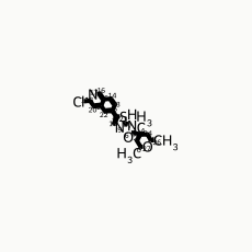 CC1CC(C)(C(=O)Nc2ncc(-c3ccc4cnc(Cl)cc4c3)s2)CC(C)O1